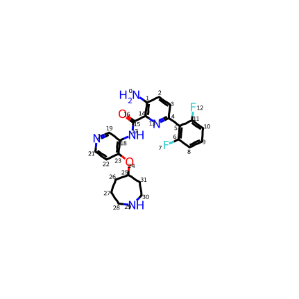 Nc1ccc(-c2c(F)cccc2F)nc1C(=O)Nc1cnccc1OC1CCCNCC1